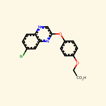 O=C(O)COc1ccc(Oc2cnc3ccc(Br)cc3n2)cc1